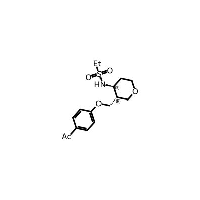 CCS(=O)(=O)N[C@H]1CCOC[C@@H]1COc1ccc(C(C)=O)cc1